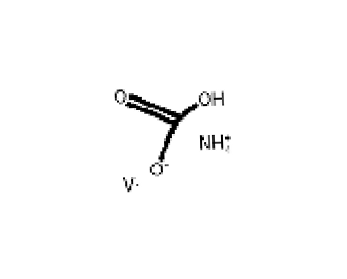 O=C([O-])O.[NH4+].[V]